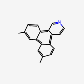 Cc1ccc2c3ccncc3c3ccc(C)cc3c2c1